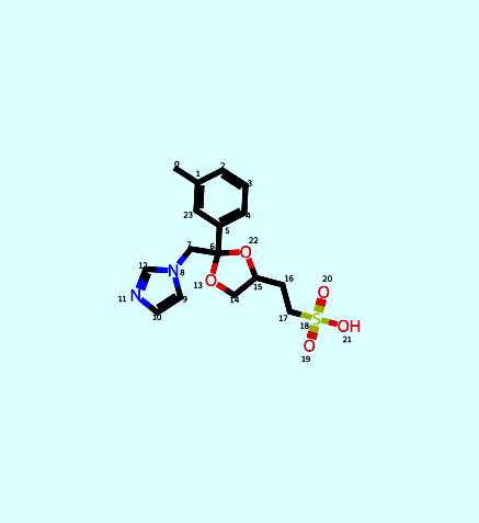 Cc1cccc(C2(Cn3ccnc3)OCC(CCS(=O)(=O)O)O2)c1